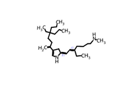 C=C(CCC(CC)(CCC)CCC)C1=CN/C(=C/C=C(\CC)CCCCNC)C1